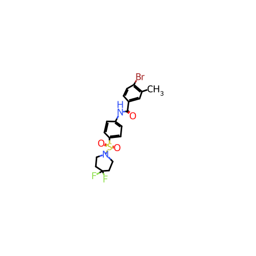 Cc1cc(C(=O)Nc2ccc(S(=O)(=O)N3CCC(F)(F)CC3)cc2)ccc1Br